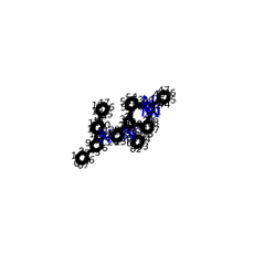 c1ccc(-c2ccc3c(c2)c2ccc(-c4ccccc4)cc2n3-c2ccc3c(c2)c2cc4cc(c5ccccc5c5nc(-c6ccccc6)nc(n5)c5ccccc45)c2n3-c2ccccc2)cc1